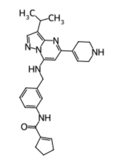 CC(C)c1cnn2c(NCc3cccc(NC(=O)C4=CCCC4)c3)cc(C3=CCNCC3)nc12